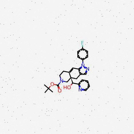 CC(C)(C)OC(=O)N1CCC2=Cc3c(cnn3-c3ccc(F)cc3)C[C@]2(C(O)c2ccccn2)C1